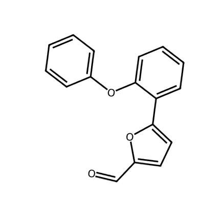 O=Cc1ccc(-c2ccccc2Oc2ccccc2)o1